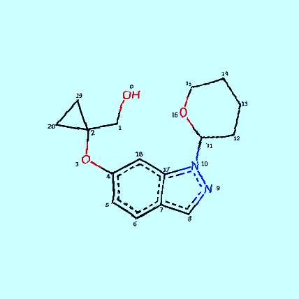 OCC1(Oc2ccc3cnn(C4CCCCO4)c3c2)CC1